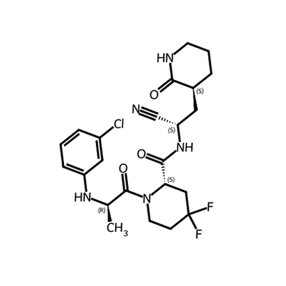 C[C@@H](Nc1cccc(Cl)c1)C(=O)N1CCC(F)(F)C[C@H]1C(=O)N[C@H](C#N)C[C@@H]1CCCNC1=O